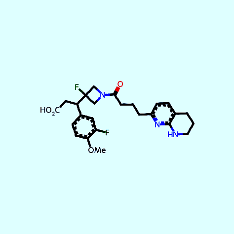 COc1ccc(C(CC(=O)O)C2(F)CN(C(=O)CCCc3ccc4c(n3)NCCC4)C2)cc1F